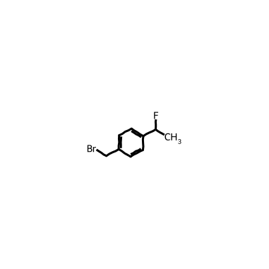 CC(F)c1ccc(CBr)cc1